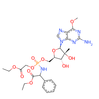 CCOC(=O)COP(=O)(NC(C(=O)OCC)c1ccccc1)OC[C@H]1O[C@@H](n2cnc3c(OC)nc(N)nc32)[C@](C)(O)[C@@H]1O